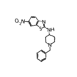 O=[N+]([O-])c1ccc2nc(NC3CCN(Cc4ccccc4)CC3)sc2c1